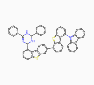 c1ccc(C2=NC(c3cccc4sc5cc(-c6cccc7c6sc6cccc(-n8c9ccccc9c9ccccc98)c67)ccc5c34)NC(c3ccccc3)N2)cc1